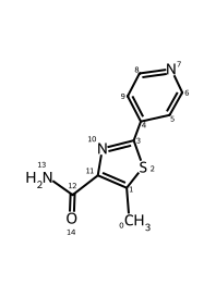 Cc1sc(-c2ccncc2)nc1C(N)=O